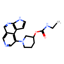 O=C(NCC(F)(F)F)OC1CCCN(c2cncc3cnc4[nH]ccc4c23)C1